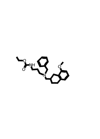 CCOC(=O)NCCCN(Cc1ccccc1)CC1CCc2cccc(OC)c2C1